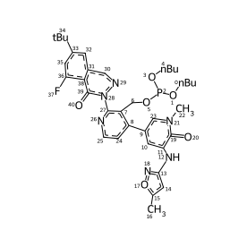 CCCCOP(OCCCC)OCc1c(-c2cc(Nc3cc(C)on3)c(=O)n(C)c2)ccnc1-n1ncc2cc(C(C)(C)C)cc(F)c2c1=O